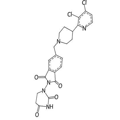 O=C1CCN(N2C(=O)c3ccc(CN4CCC(c5nccc(Cl)c5Cl)CC4)cc3C2=O)C(=O)N1